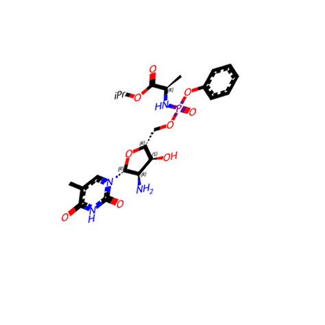 Cc1cn([C@@H]2O[C@H](COP(=O)(N[C@H](C)C(=O)OC(C)C)Oc3ccccc3)[C@@H](O)[C@H]2N)c(=O)[nH]c1=O